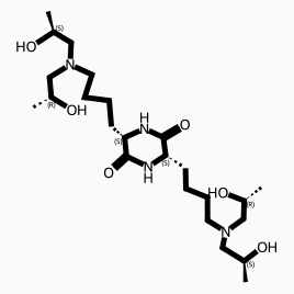 C[C@H](O)CN(CCCC[C@@H]1NC(=O)[C@H](CCCCN(C[C@H](C)O)C[C@@H](C)O)NC1=O)C[C@@H](C)O